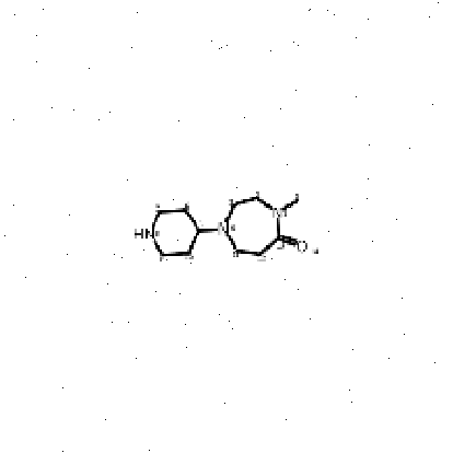 CN1CCN(C2CCNCC2)CCC1=O